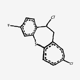 Fc1ccc2c(c1)Sc1ccc(Cl)cc1CC2Cl